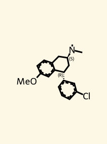 COc1ccc2c(c1)[C@@H](c1cccc(Cl)c1)C[C@H](N(C)C)C2